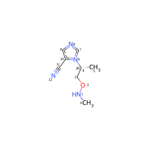 CNOC[C@@H](C)n1cncc1C#N